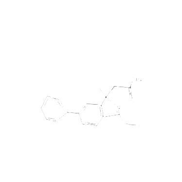 CCOC1=NC(C)(CC(=O)OC)c2cc(-c3ccccn3)ccc21